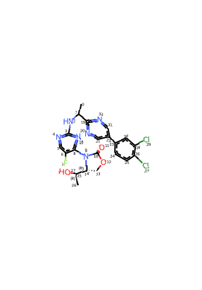 CC(Nc1ncc(F)c(N2C(=O)OC[C@@H]2[C@@H](C)O)n1)c1ncc(-c2ccc(Cl)c(Cl)c2)cn1